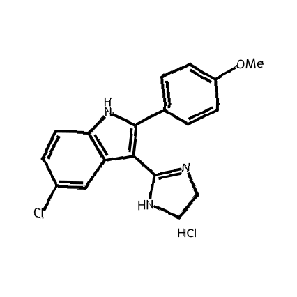 COc1ccc(-c2[nH]c3ccc(Cl)cc3c2C2=NCCN2)cc1.Cl